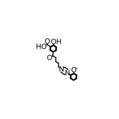 COc1ccccc1N1CCN(CCCCC(=O)c2ccc(O)c(C(=O)O)c2)CC1